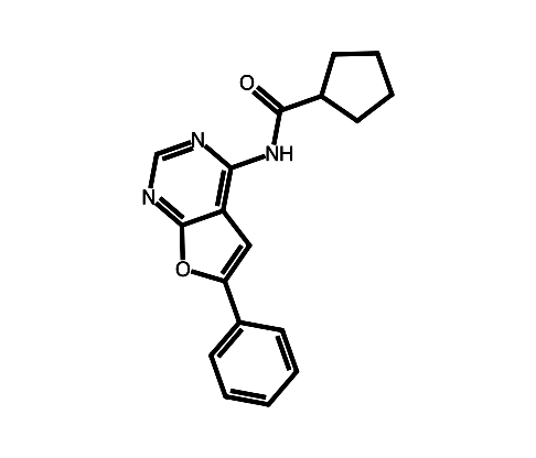 O=C(Nc1ncnc2oc(-c3ccccc3)cc12)C1CCCC1